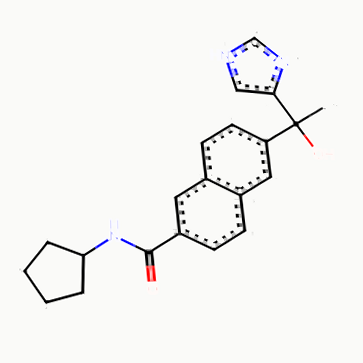 CC(C)C(O)(c1ccc2cc(C(=O)NC3CCCC3)ccc2c1)c1c[nH]cn1